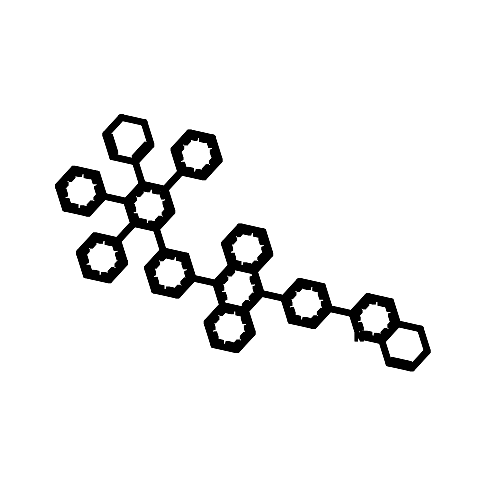 C1=CC(c2c(-c3ccccc3)cc(-c3cccc(-c4c5ccccc5c(-c5ccc(-c6ccc7c(n6)C=CCC7)cc5)c5ccccc45)c3)c(-c3ccccc3)c2-c2ccccc2)=CCC1